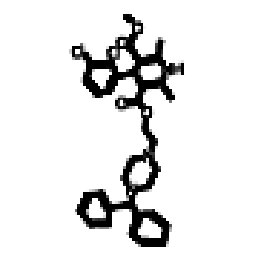 COC(=O)C1=C(C)NC(C)=C(C(=O)OCCN2CCN(C(c3ccccc3)c3ccccc3)CC2)C1c1cccc(Cl)c1Cl